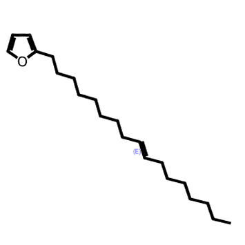 CCCCCCC/C=C/CCCCCCCCc1ccco1